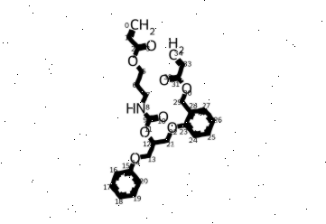 C=CC(=O)OCCCNC(=O)OC(COc1ccccc1)COc1ccccc1COC(=O)C=C